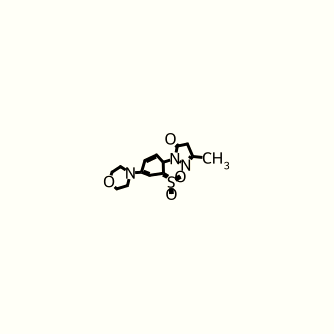 CC1=NN(C2C=CC(N3CCOCC3)=CC2=S(=O)=O)C(=O)C1